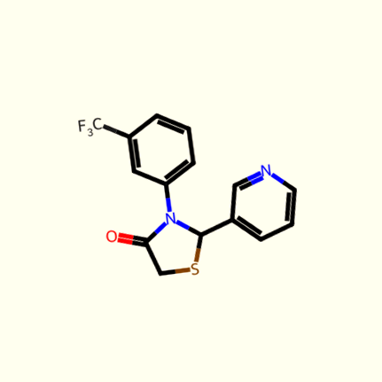 O=C1CSC(c2cccnc2)N1c1cccc(C(F)(F)F)c1